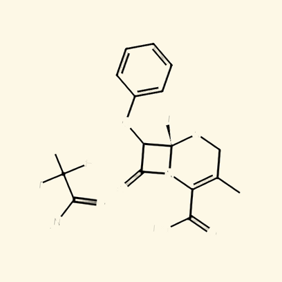 CC1=C(C(=O)O)N2C(=O)C(Oc3ccccc3)[C@@H]2SC1.[3H]C([3H])([3H])C(N)=O